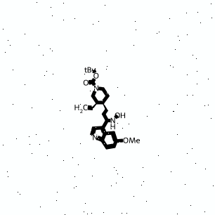 C=C[C@H]1CN(C(=O)OC(C)(C)C)CC[C@H]1CCC(NO)c1ccnc2ccc(OC)cc12